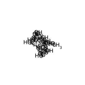 C=C(/C=C/C=C1/N(CCCCCC(=O)O)c2ccc3c(S(=O)(=O)O)cc(S(=O)(=O)O)cc3c2C1(C)CCCS(=O)(=O)O)C(C)(CCOCCOCCOC)c1c(C)ccc2c(S(=O)(=O)O)cc(S(=O)(=O)O)cc12